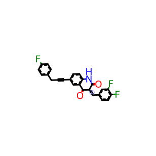 O=C1Nc2ccc(C#CCc3ccc(F)cc3)cc2C(=O)/C1=C/c1ccc(F)c(F)c1